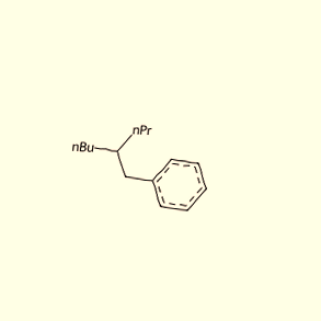 CCCCC(CCC)Cc1ccccc1